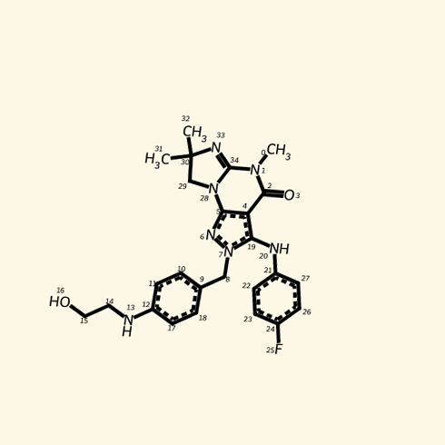 CN1C(=O)c2c(nn(Cc3ccc(NCCO)cc3)c2Nc2ccc(F)cc2)N2CC(C)(C)N=C12